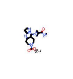 CN(C)C(=O)C1CN(c2c3c(nc4ccnn24)CCN(C(=O)OC(C)(C)C)CC3)C1